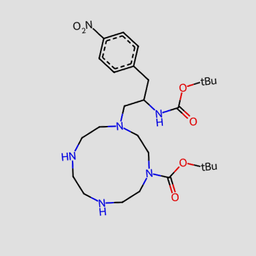 CC(C)(C)OC(=O)NC(Cc1ccc([N+](=O)[O-])cc1)CN1CCNCCNCCN(C(=O)OC(C)(C)C)CC1